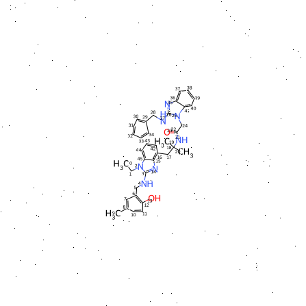 CCn1c(NCc2cc(C)ccc2O)nc2c(CC(C)(C)NC(=O)Cn3c(NCc4ccccc4)nc4ccccc43)cccc21